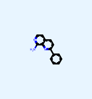 Nc1nccc2ccc(-c3[c]cccc3)nc12